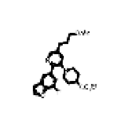 CCOC(=O)C1CCN(c2cc(CCCOC)cnc2-c2cc(F)c3occc3c2)CC1